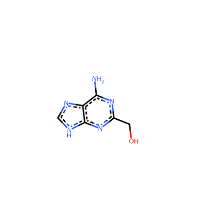 Nc1nc(CO)nc2[nH]cnc12